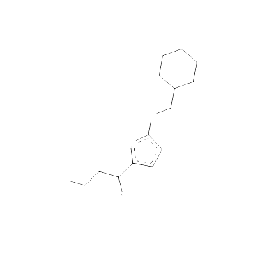 NC(CCO)c1ccc(OCC2CCCCC2)o1